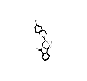 O=C1c2ccccc2C(=O)N1C[C@@H](O)[C@H]1CCc2cc(F)ccc2O1